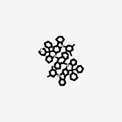 Cc1cc(C)cc(-n2c3ccccc3c3cc4c(cc32)N(c2c3ccccc3c(N3c5ccccc5C(c5ccccc5)(c5ccccc5)c5cc6c7ccccc7n(-c7cc(C)cc(C)c7)c6cc53)c3ccccc23)c2ccccc2C4(c2ccccc2)c2ccccc2)c1